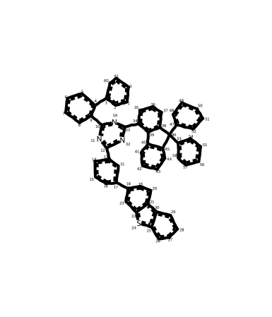 c1ccc(-c2ccccc2-c2nc(-c3cccc(-c4ccc5c(c4)sc4ccccc45)c3)nc(-c3cccc4c3-c3ccccc3C4(c3ccccc3)c3ccccc3)n2)cc1